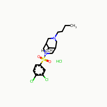 CCCCN1CC2CN(S(=O)(=O)c3ccc(Cl)c(Cl)c3)CC(C1)C2(C)C.Cl